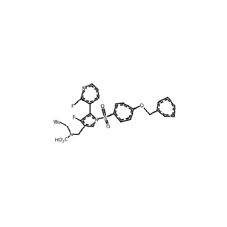 CC(C)(C)CN(Cc1cn(S(=O)(=O)c2ccc(OCc3ccccc3)cc2)c(-c2cccnc2F)c1F)C(=O)O